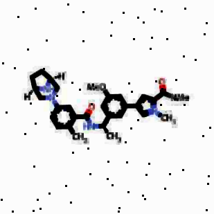 CNC(=O)c1cc(-c2cc(OC)cc([C@@H](C)NC(=O)c3cc(N4C[C@H]5CC[C@@H](C4)N5)ccc3C)c2)cn1C